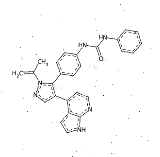 C=C(C)n1ncc(-c2ccnc3[nH]ccc23)c1-c1ccc(NC(=O)Nc2ccccc2)cc1